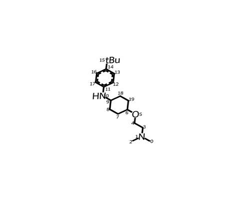 CN(C)CCOC1CCC(Nc2ccc(C(C)(C)C)cc2)CC1